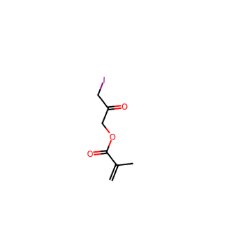 C=C(C)C(=O)OCC(=O)CI